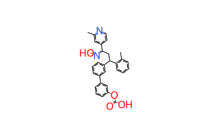 Cc1cc(C(CC(c2cccc(-c3cccc(OC(=O)O)c3)c2)c2ccccc2C)=NO)ccn1